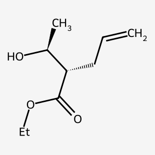 C=CC[C@H](C(=O)OCC)[C@H](C)O